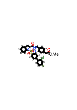 COC(=O)Cc1ccc(CNC(=O)[C@@H]2Cc3ccccc3N2S(=O)(=O)c2ccc(-c3ccc(F)cc3Cl)cc2)cc1